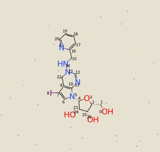 OC[C@H]1O[C@@H](n2cc(I)c3c2N=CN(NCc2ccccn2)C3)[C@@H](O)[C@H]1O